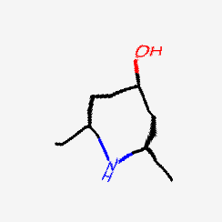 CC1CC(O)CC(C)N1